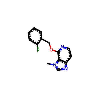 Cn1cnc2ccnc(OCc3ccccc3F)c21